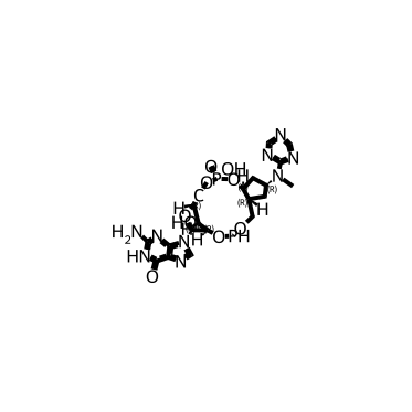 CN(c1ncncn1)[C@@H]1C[C@@H]2COPO[C@@H]3[C@H](O)[C@@H](COP(=O)(O)O[C@H]2C1)O[C@H]3n1cnc2c(=O)[nH]c(N)nc21